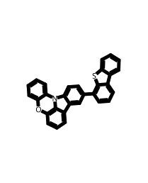 c1ccc2c(c1)Oc1cccc3c4cc(-c5cccc6c5sc5ccccc56)ccc4n-2c13